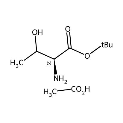 CC(=O)O.CC(O)[C@H](N)C(=O)OC(C)(C)C